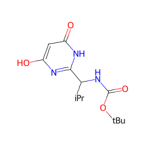 CC(C)C(NC(=O)OC(C)(C)C)c1nc(O)cc(=O)[nH]1